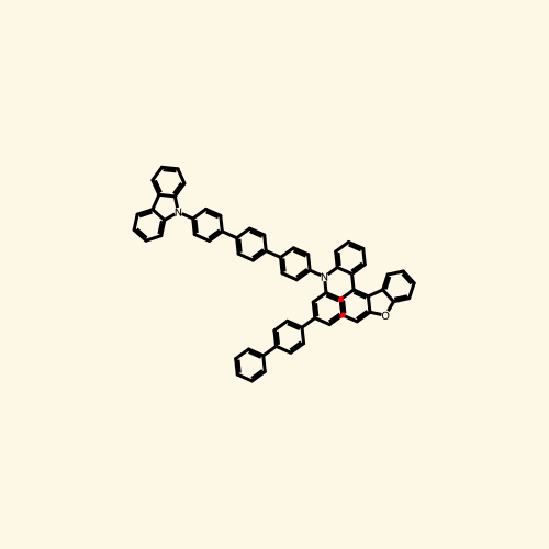 c1ccc(-c2ccc(-c3cccc(N(c4ccc(-c5ccc(-c6ccc(-n7c8ccccc8c8ccccc87)cc6)cc5)cc4)c4ccccc4-c4cccc5oc6ccccc6c45)c3)cc2)cc1